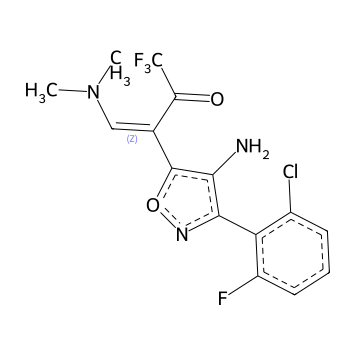 CN(C)/C=C(\C(=O)C(F)(F)F)c1onc(-c2c(F)cccc2Cl)c1N